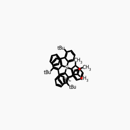 CC1=C(C)C(C)C([Si](c2cccc(C(C)(C)C)c2-c2ccccc2)(c2cccc(C(C)(C)C)c2-c2ccccc2)c2cccc(C(C)(C)C)c2-c2ccccc2)=C1C